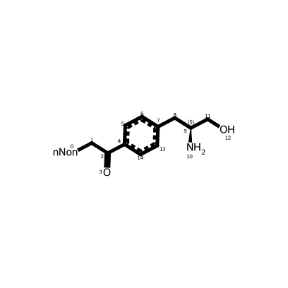 CCCCCCCCCCC(=O)c1ccc(C[C@H](N)CO)cc1